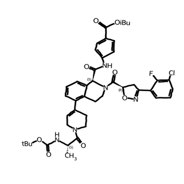 CC(C)COC(=O)c1ccc(NC(=O)[C@@H]2c3cccc(C4=CCN(C(=O)[C@H](C)NC(=O)OC(C)(C)C)CC4)c3CCN2C(=O)[C@H]2CC(c3cccc(Cl)c3F)=NO2)cc1